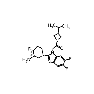 CC(C)C1CN(C(=O)Cn2c(N3CC[C@@H](F)[C@H](N)C3)nc3cc(F)c(F)cc32)C1